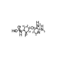 CNc1nccc(Oc2ccc(NC(=O)O)c(F)c2)c1N